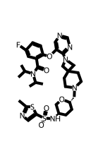 Cc1ncc(S(=O)(=O)N[C@@H]2CC[C@@H](CN3CCC4(CC3)CN(c3ncncc3Oc3ccc(F)cc3C(=O)N(C(C)C)C(C)C)C4)OC2)s1